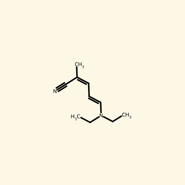 CCN(C=CC=C(C)C#N)CC